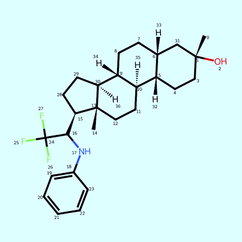 C[C@@]1(O)CC[C@H]2[C@H](CC[C@@H]3[C@@H]2CC[C@]2(C)[C@@H](C(Nc4ccccc4)C(F)(F)F)CC[C@@H]32)C1